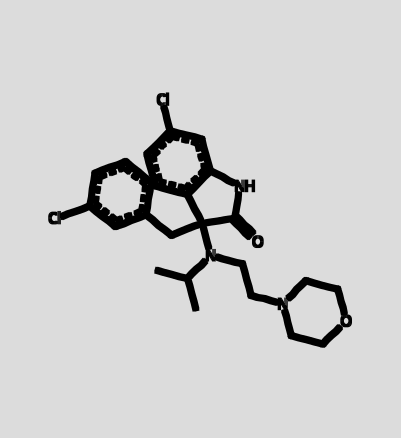 CC(C)N(CCN1CCOCC1)C1(Cc2cccc(Cl)c2)C(=O)Nc2cc(Cl)ccc21